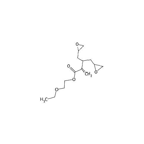 C=C(C(=O)OCCOCC)C(CC1CO1)CC1CO1